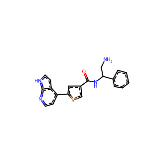 NCC(NC(=O)c1csc(-c2ccnc3[nH]ccc23)c1)c1ccccc1